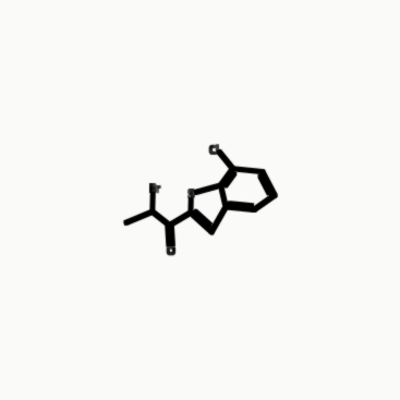 CC(Br)C(=O)c1cc2cccc(Cl)c2s1